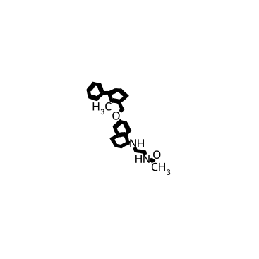 CC(=O)NCCNC1CCCc2cc(OCc3cccc(-c4ccccc4)c3C)ccc21